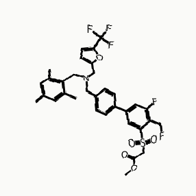 COC(=O)CS(=O)(=O)c1cc(-c2ccc(CN(Cc3ccc(C(F)(F)F)o3)Cc3c(C)cc(C)cc3C)cc2)cc(F)c1CF